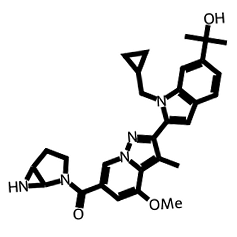 COc1cc(C(=O)N2CCC3NC32)cn2nc(-c3cc4ccc(C(C)(C)O)cc4n3CC3CC3)c(C)c12